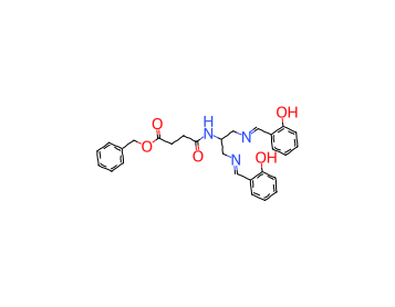 O=C(CCC(=O)OCc1ccccc1)NC(C/N=C/c1ccccc1O)C/N=C/c1ccccc1O